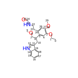 CCOc1cc(C(COC)Cc2c[nH]c3ccccc23)c(CCNC=O)cc1OC